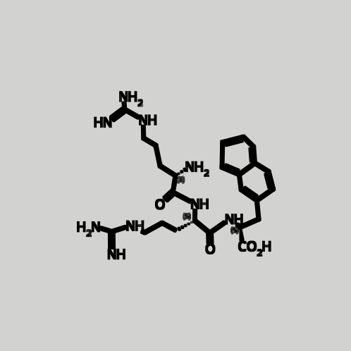 N=C(N)NCCC[C@H](NC(=O)[C@@H](N)CCCNC(=N)N)C(=O)N[C@@H](Cc1ccc2ccccc2c1)C(=O)O